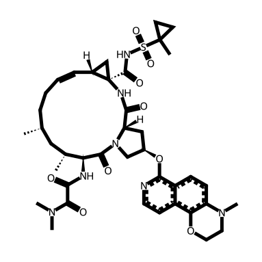 C[C@@H]1CCC=C[C@@H]2C[C@@]2(C(=O)NS(=O)(=O)C2(C)CC2)NC(=O)[C@@H]2C[C@@H](Oc3nccc4c5c(ccc34)N(C)CCO5)CN2C(=O)[C@@H](NC(=O)C(=O)N(C)C)[C@H](C)C1